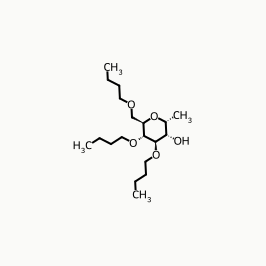 CCCCOC[C@H]1O[C@H](C)[C@H](O)[C@@H](OCCCC)[C@@H]1OCCCC